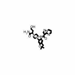 CC1(C)Cc2cc(NC(=O)c3cnn4cccnc34)c(N3CCN(C(CCO)C(N)=O)CC3)cc2O1